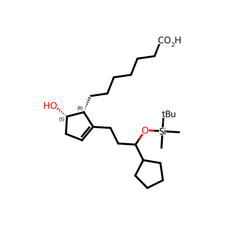 CC(C)(C)[Si](C)(C)OC(CCC1=CC[C@H](O)[C@@H]1CCCCCCC(=O)O)C1CCCC1